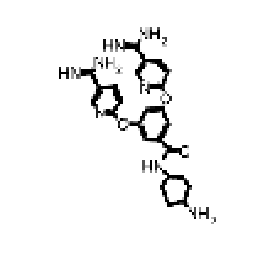 N=C(N)c1ccc(Oc2cc(Oc3ccc(C(=N)N)cn3)cc(C(=O)NC3CCC(N)CC3)c2)nc1